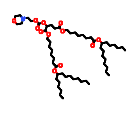 CCCCCCCCC(CCCCCC)OC(=O)CCCCCCCOC(=O)CCC(OC(=O)OCCN1CCOCC1)C(=O)OCCCCCCCC(=O)OC(CCCCCC)CCCCCCCC